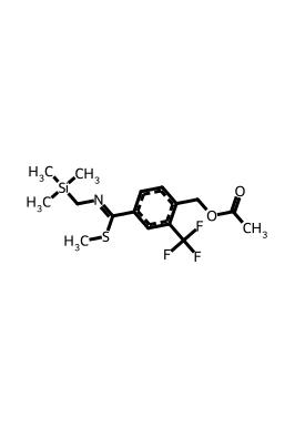 CSC(=NC[Si](C)(C)C)c1ccc(COC(C)=O)c(C(F)(F)F)c1